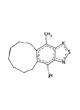 Cc1c2c(c(C(C)C)c3nsnc13)CCCCCCC2